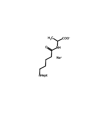 CCCCCCCCCCCC(=O)NC(C)C(=O)[O-].[Na+]